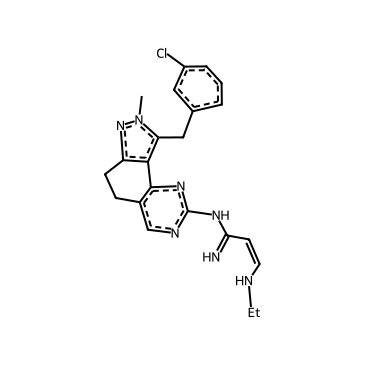 CCN/C=C\C(=N)Nc1ncc2c(n1)-c1c(nn(C)c1Cc1cccc(Cl)c1)CC2